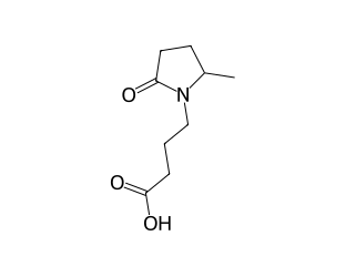 CC1CCC(=O)N1CCCC(=O)O